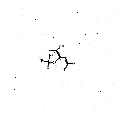 FC(F)=CC(OC(F)(F)F)=C(F)F